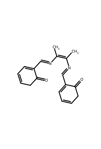 CC(N=CC1=CC=CCC1=O)=C(C)N=CC1=CC=CCC1=O